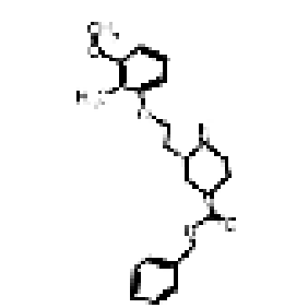 COc1cccc(OCC[C@@H]2CN(C(=O)OCc3ccccc3)CCN2)c1C